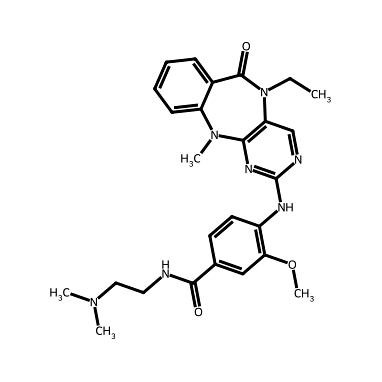 CCN1C(=O)c2ccccc2N(C)c2nc(Nc3ccc(C(=O)NCCN(C)C)cc3OC)ncc21